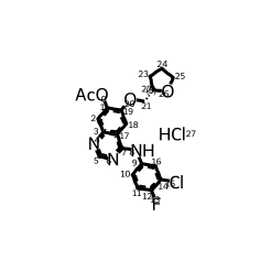 CC(=O)Oc1cc2ncnc(Nc3ccc(F)c(Cl)c3)c2cc1OC[C@@H]1CCCO1.Cl